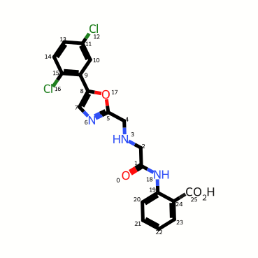 O=C(CNCc1ncc(-c2cc(Cl)ccc2Cl)o1)Nc1ccccc1C(=O)O